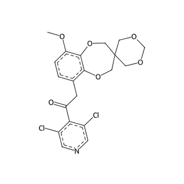 COc1ccc(CC(=O)c2c(Cl)cncc2Cl)c2c1OCC1(COCOC1)CO2